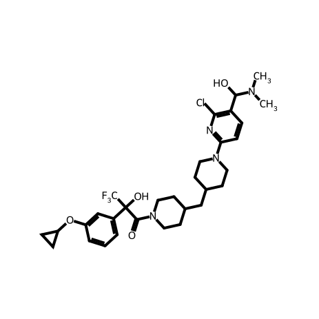 CN(C)C(O)c1ccc(N2CCC(CC3CCN(C(=O)C(O)(c4cccc(OC5CC5)c4)C(F)(F)F)CC3)CC2)nc1Cl